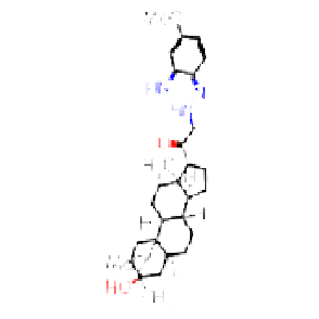 COC[C@]12CC[C@@](C)(O)C[C@@H]1CC[C@H]1[C@@H]3CC[C@H](C(=O)CN/N=C4/C=CC(OC)=CC4=N)[C@@]3(C)CC[C@@H]12